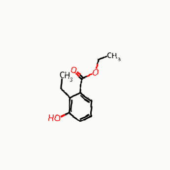 CCOC(=O)c1cccc(O)c1CC